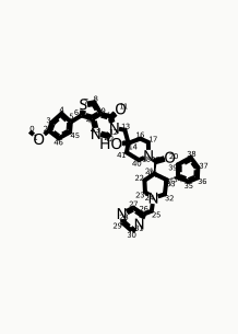 COc1ccc(-c2scc3c(=O)n(CC4(O)CCN(C(=O)[C@@H]5CCN(Cc6cnccn6)C[C@H]5c5ccccc5)CC4)cnc23)cc1